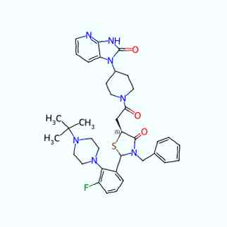 CC(C)(C)N1CCN(c2c(F)cccc2C2S[C@@H](CC(=O)N3CCC(n4c(=O)[nH]c5ncccc54)CC3)C(=O)N2Cc2ccccc2)CC1